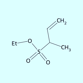 C=CC(C)S(=O)(=O)OCC